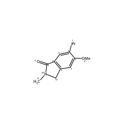 COc1cc2c(cc1C(C)C)C(=O)N(C)C2